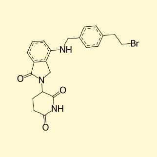 O=C1CCC(N2Cc3c(NCc4ccc(CCBr)cc4)cccc3C2=O)C(=O)N1